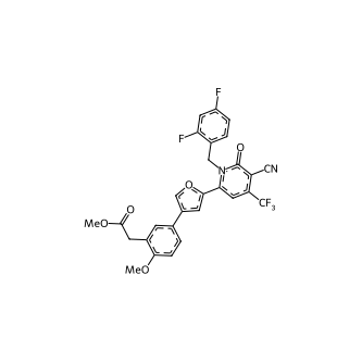 COC(=O)Cc1cc(-c2coc(-c3cc(C(F)(F)F)c(C#N)c(=O)n3Cc3ccc(F)cc3F)c2)ccc1OC